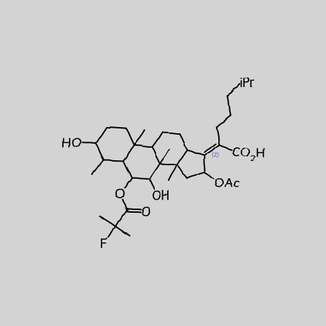 CC(=O)OC1CC2(C)C(CCC3C4(C)CCC(O)C(C)C4C(OC(=O)C(C)(C)F)C(O)C32C)/C1=C(\CCCC(C)C)C(=O)O